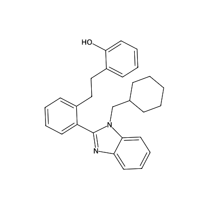 Oc1ccccc1CCc1ccccc1-c1nc2ccccc2n1CC1CCCCC1